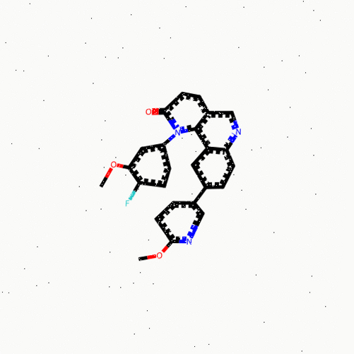 COc1ccc(-c2ccc3ncc4ccc(=O)n(-c5ccc(F)c(OC)c5)c4c3c2)cn1